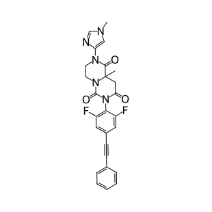 Cn1cnc(N2CCN3C(=O)N(c4c(F)cc(C#Cc5ccccc5)cc4F)C(=O)CC3(C)C2=O)c1